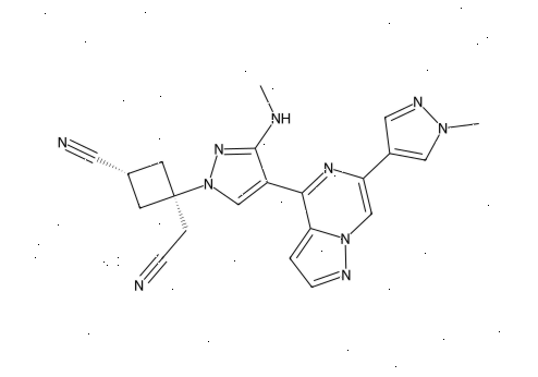 CNc1nn([C@]2(CC#N)C[C@@H](C#N)C2)cc1-c1nc(-c2cnn(C)c2)cn2nccc12